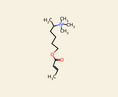 [CH2]C(CCCCOC(=O)C=CC)[N+](C)(C)C